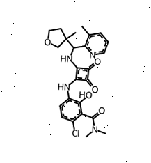 Cc1cccnc1C(Nc1c(Nc2ccc(Cl)c(C(=O)N(C)C)c2O)c(=O)c1=O)C1(C)CCOC1